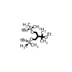 CCOC(C)(C)C(CO[Si](C)(C)C(C)(C)C)CO[Si](C)(C)C(C)(C)C